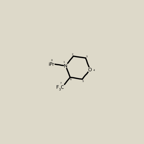 CC(C)N1CCOCC1C(F)(F)F